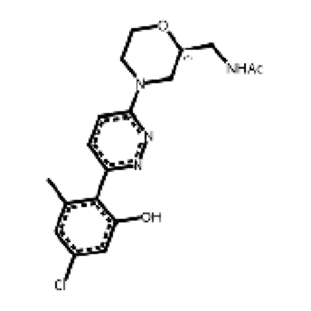 CC(=O)NC[C@H]1CN(c2ccc(-c3c(C)cc(Cl)cc3O)nn2)CCO1